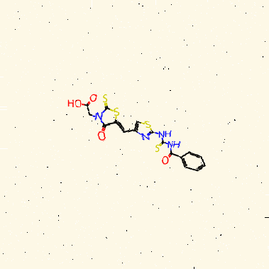 O=C(O)CN1C(=O)C(=Cc2csc(NC(=S)NC(=O)c3ccccc3)n2)SC1=S